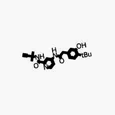 C#CC(C)(C)NC(=O)c1cc(NC(=O)Cc2ccc(C(C)(C)C)c(O)c2)ccn1